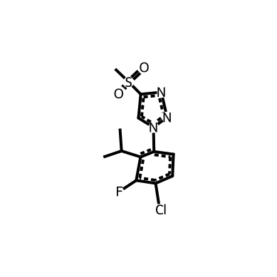 CC(C)c1c(-n2cc(S(C)(=O)=O)nn2)ccc(Cl)c1F